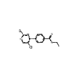 CCOC(=O)c1ccc(-c2nc(Cl)ncc2Cl)cc1